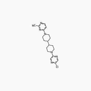 N#Cc1nccc(N2CCC(C3CCN(c4cnc(Cl)cn4)CC3)CC2)n1